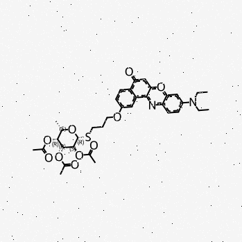 CCN(CC)c1ccc2nc3c4cc(OCCCS[C@H]5O[C@@H](C)[C@@H](OC(C)=O)[C@@H](OC(C)=O)[C@@H]5OC(C)=O)ccc4c(=O)cc-3oc2c1